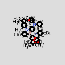 Cc1cc2c(cc1N1c3cc(C(C)(C)C)ccc3B3c4cc5c(cc4N(c4ccc(C(C)(C)C)cc4-c4ccccc4)c4cc(N(c6ccccc6)c6ccccc6)cc1c43)C(C)(C)CC5(C)C)C(C)(C)CC2(C)C